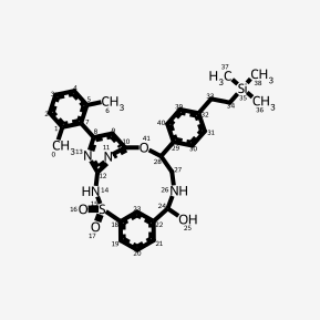 Cc1cccc(C)c1-c1cc2nc(n1)NS(=O)(=O)c1cccc(c1)C(O)NCC(c1ccc(CC[Si](C)(C)C)cc1)O2